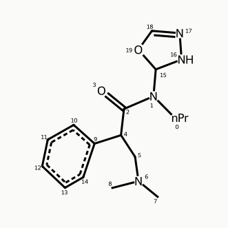 CCCN(C(=O)C(CN(C)C)c1ccccc1)C1NN=CO1